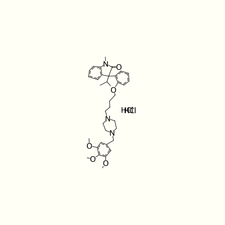 COc1cc(CN2CCN(CCCCOc3ccccc3C3(C(C)C)C(=O)N(C)c4ccccc43)CC2)cc(OC)c1OC.Cl.Cl